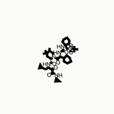 CC1CN(C(=O)[C@@H](NC(=O)NC2(CS(=O)(=O)C(C)(C)C)CCCCC2)C2CCCCC2)[C@H](C(=O)NC(CC2CC2)C(=O)C(=O)NC2CC2)CC1(C)C